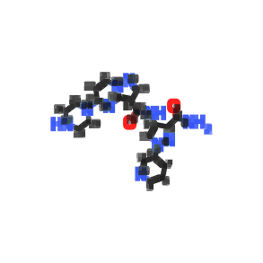 NC(=O)c1nn(-c2cccnc2)cc1NC(=O)c1cnn2ccc(N3CCNCC3)nc12